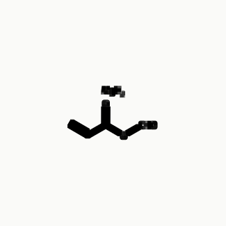 C=CC(=O)OC=O.[MgH2]